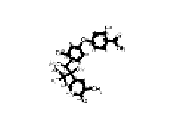 Cc1cc(C(O)(C(C)c2ccc(Oc3ccc(C(=O)O)c(F)c3)cc2Cl)C(F)(F)F)c[nH]c1=O